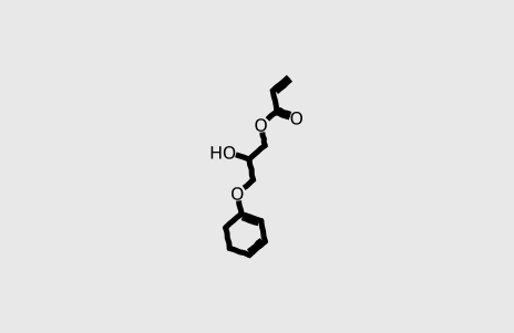 C=CC(=O)OCC(O)COC1=CC=CCC1